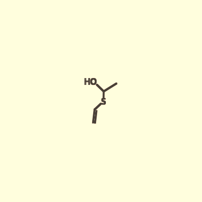 C=CSC(C)O